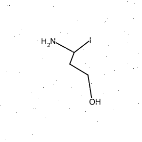 NC(I)CCO